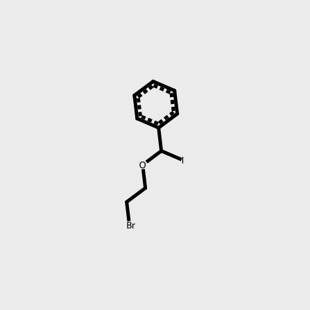 BrCCOC(I)c1ccccc1